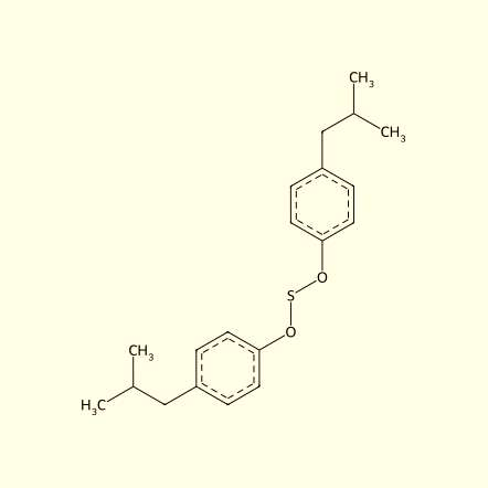 CC(C)Cc1ccc(OSOc2ccc(CC(C)C)cc2)cc1